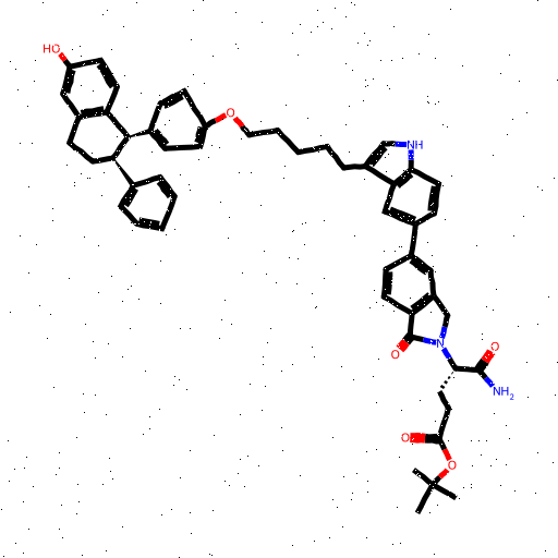 CC(C)(C)OC(=O)CC[C@@H](C(N)=O)N1Cc2cc(-c3ccc4[nH]cc(CCCCCOc5ccc([C@@H]6c7ccc(O)cc7CC[C@@H]6c6ccccc6)cc5)c4c3)ccc2C1=O